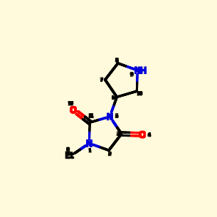 CCN1CC(=O)N(C2CCNC2)C1=O